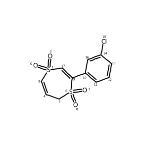 O=S1(=O)C=CCS(=O)(=O)C(c2cccc(Cl)c2)=C1